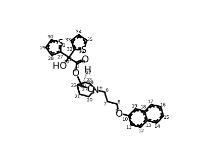 O=C(O[C@H]1C[N+]2(CCCOc3ccc4ccccc4c3)CCC1CC2)C(O)(c1cccs1)c1cccs1